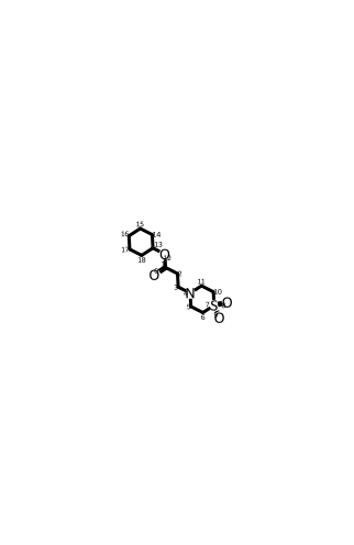 O=C(CCN1CCS(=O)(=O)CC1)OC1CCCCC1